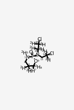 [2H]N1CC([2H])([2H])C([2H])([2H])OP1(=O)N(CC([2H])([2H])Cl)C([2H])([2H])C([2H])([2H])Cl